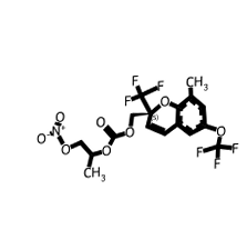 Cc1cc(OC(F)(F)F)cc2c1O[C@@](COC(=O)OC(C)CO[N+](=O)[O-])(C(F)(F)F)C=C2